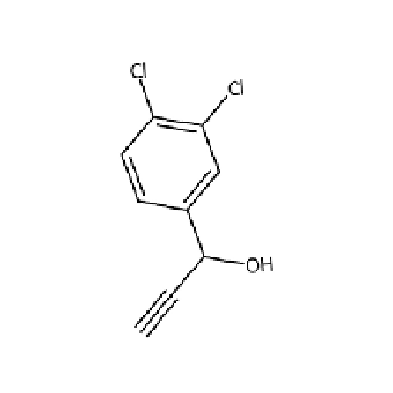 C#CC(O)c1ccc(Cl)c(Cl)c1